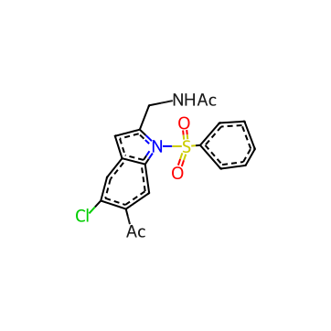 CC(=O)NCc1cc2cc(Cl)c(C(C)=O)cc2n1S(=O)(=O)c1ccccc1